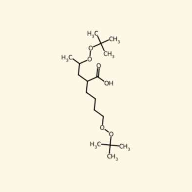 CC(CC(CCCCOOC(C)(C)C)C(=O)O)OOC(C)(C)C